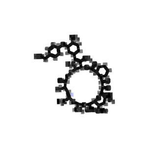 CCC1/C=C(\C)CC(C)CC(OC)C2OC(O)(C(=O)C(=O)N3CCCCC3C(=O)OC(C(C)=CC3CCC(N)C(Oc4ccc(CO)cc4)C3)C(C)CCC1=O)C(C)CC2OC